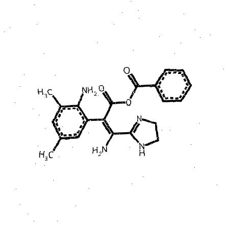 Cc1cc(C)c(N)c(C(C(=O)OC(=O)c2ccccc2)=C(N)C2=NCCN2)c1